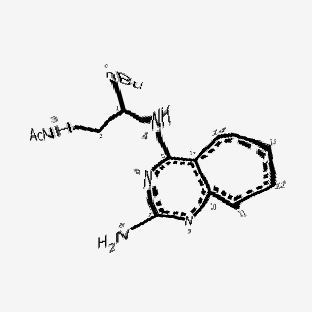 CCCCC(CNC(C)=O)Nc1nc(N)nc2ccccc12